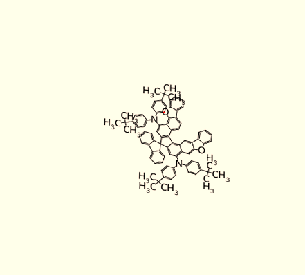 CC(C)(C)c1ccc(N(c2ccc(C(C)(C)C)cc2)c2cc3c(c4cc5c(cc24)oc2ccccc25)-c2c(cc(N(c4ccc(C(C)(C)C)cc4)c4ccc(C(C)(C)C)cc4)c4c2ccc2c5ccccc5oc24)C32c3ccccc3-c3ccccc32)cc1